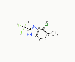 Cc1ccc2[nH]c(C(F)(F)F)nc2c1Cl